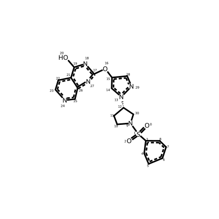 O=S(=O)(c1ccccc1)N1CC[C@H](n2cc(Oc3nc(O)c4ccncc4n3)cn2)C1